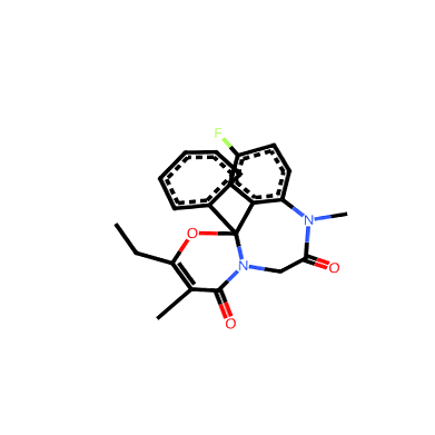 CCC1=C(C)C(=O)N2CC(=O)N(C)c3ccc(F)cc3C2(c2ccccc2)O1